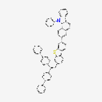 C(=C(c1ccc(-c2ccccc2)cc1)c1ccc(-c2ccccc2)cc1)c1ccc2c(c1)sc1cc(-c3ccc4c(ccc5c6ccccc6n(-c6ccccc6)c45)c3)ccc12